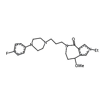 CCn1cc2c(c1)C(OC)CCN(CCCN1CCN(c3ccc(F)cc3)CC1)C2=O